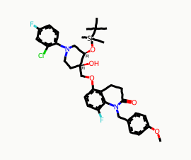 COc1ccc(CN2C(=O)CCc3c(OC[C@]4(O)CCN(c5ccc(F)cc5Cl)C[C@H]4O[Si](C)(C)C(C)(C)C)ccc(F)c32)cc1